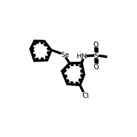 CS(=O)(=O)Nc1cc(Cl)ccc1[Se]c1ccccc1